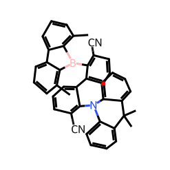 Cc1cccc2c1B(c1c(C#N)cccc1-c1cccc(C#N)c1N1c3ccccc3C(C)(C)c3ccccc31)c1c(C)cccc1-2